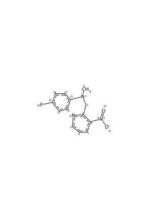 CN(Cc1ncccc1[N+](=O)[O-])c1ccc(F)cc1